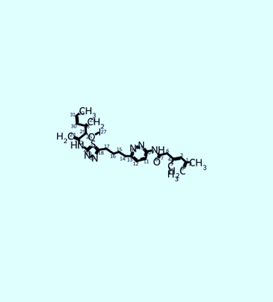 C=C(C)/C=C(\C)CC(=O)Nc1ccc(CCCCc2nnc(NC(=C)[C@@H](OI)C(=C)/C=C\C)s2)nn1